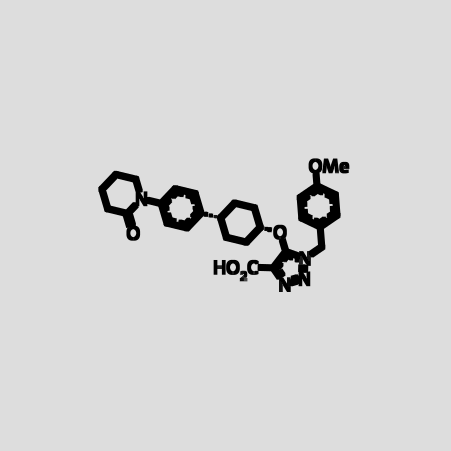 COc1ccc(Cn2nnc(C(=O)O)c2O[C@H]2CC[C@@H](c3ccc(N4CCCCC4=O)cc3)CC2)cc1